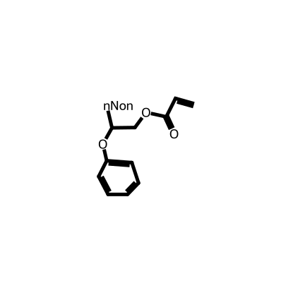 C=CC(=O)OCC(CCCCCCCCC)Oc1ccccc1